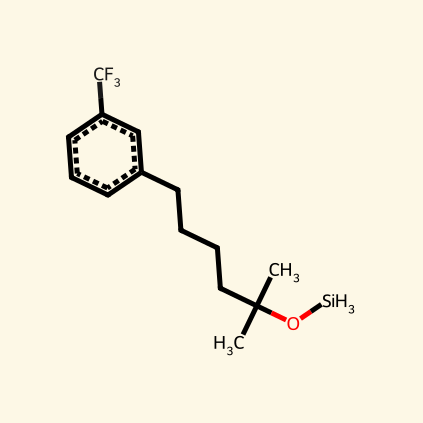 CC(C)(CCCCc1cccc(C(F)(F)F)c1)O[SiH3]